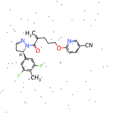 C=C(CCCOc1ccc(C#N)cn1)C(=O)N1N=CC[C@@H]1c1cc(F)c(C)c(F)c1